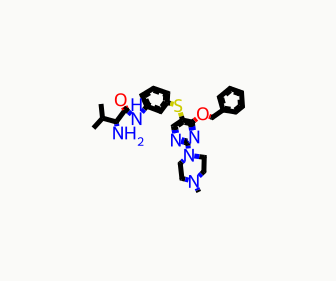 CC(C)C(N)C(=O)Nc1cccc(Sc2cnc(N3CCN(C)CC3)nc2OCc2ccccc2)c1